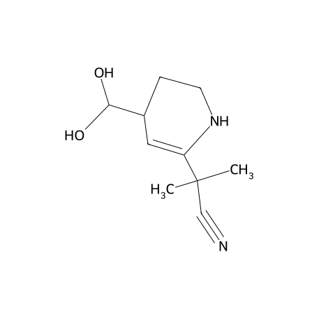 CC(C)(C#N)C1=CC(C(O)O)CCN1